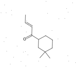 CC=CC(=O)C1CCCC(C)(C)C1